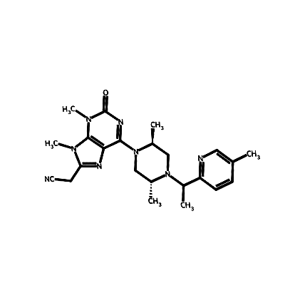 Cc1ccc(C(C)N2C[C@H](C)N(c3nc(=O)n(C)c4c3nc(CC#N)n4C)C[C@H]2C)nc1